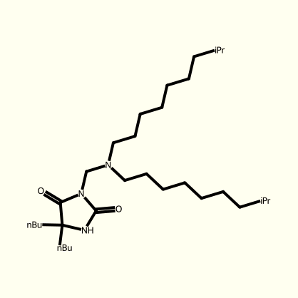 CCCCC1(CCCC)NC(=O)N(CN(CCCCCCCC(C)C)CCCCCCCC(C)C)C1=O